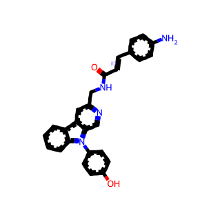 Nc1ccc(/C=C/C(=O)NCc2cc3c4ccccc4n(-c4ccc(O)cc4)c3cn2)cc1